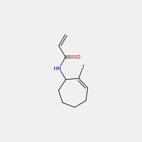 C=CC(=O)NC1CCCCC=C1I